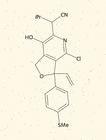 C=CC1(c2ccc(SC)cc2)OCc2c(O)c(C(C#N)C(C)C)nc(Cl)c21